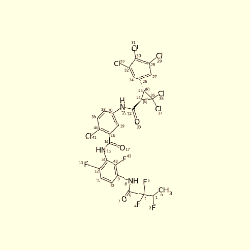 CC(F)C(F)(F)C(=O)Nc1ccc(F)c(NC(=O)c2cc(NC(=O)[C@H]3[C@H](c4cc(Cl)c(Cl)c(Cl)c4)C3(Cl)Cl)ccc2Cl)c1F